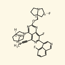 CC#Cc1nc(-c2cncc3cccc(F)c23)c(F)c2nc(OC[C@@]34CCCN3C[C@H](F)C4)nc(N3C[C@H]4CC[C@@H](C3)N4)c12